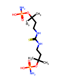 CC(C)(CCNC(=S)NCCC(C)(C)OP(N)(=O)O)OP(N)(=O)O